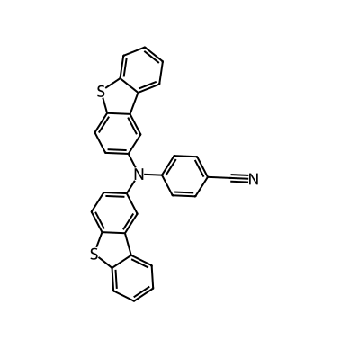 N#Cc1ccc(N(c2ccc3sc4ccccc4c3c2)c2ccc3sc4ccccc4c3c2)cc1